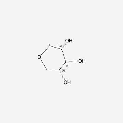 O[C@@H]1[C@H](O)CO[CH][C@@H]1O